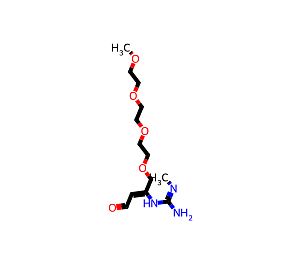 C/N=C(/N)N/C(=C\C=O)COCCOCCOCCOC